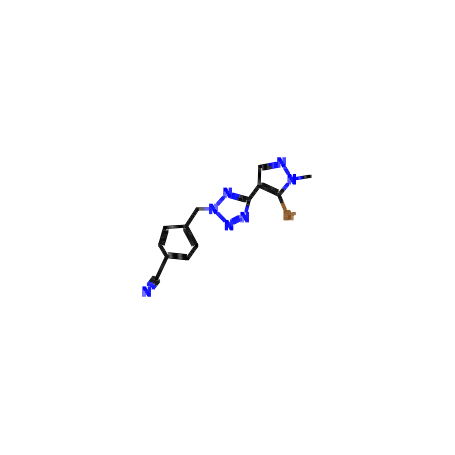 Cn1ncc(-c2nnn(Cc3ccc(C#N)cc3)n2)c1Br